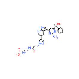 CC(O)(c1ccccc1)c1cc(-c2c[nH]c3ncc(-c4cnn(CCC(=O)NCCNC(=O)O)c4)cc23)nc(N)n1